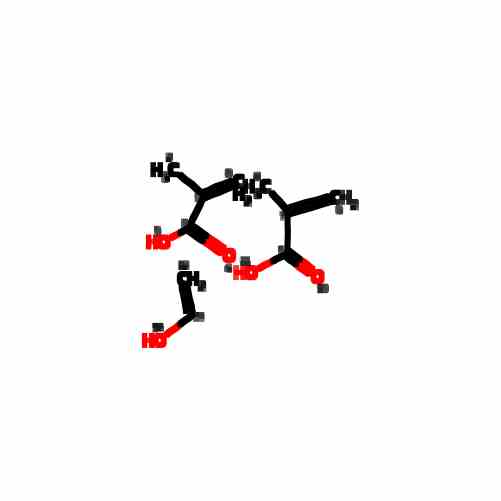 C=C(C)C(=O)O.C=C(C)C(=O)O.C=CO